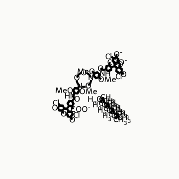 COc1cc(N2CCOCCOCCN(c3cc(OC)c(NC(=O)c4ccc(-c5c6cc(Cl)c(=O)cc-6oc6cc([O-])c(Cl)cc56)c(C(=O)[O-])c4)cc3OC)CCOCC2)c(OC)cc1NC(=O)c1ccc(-c2c3cc(Cl)c(=O)cc-3oc3cc([O-])c(Cl)cc23)c(C(=O)[O-])c1.C[N+](C)(C)C.C[N+](C)(C)C.C[N+](C)(C)C.C[N+](C)(C)C